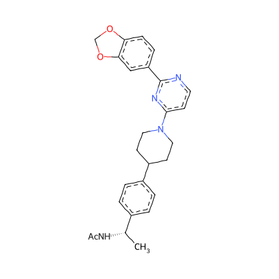 CC(=O)N[C@@H](C)c1ccc(C2CCN(c3ccnc(-c4ccc5c(c4)OCO5)n3)CC2)cc1